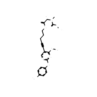 CCCNc1nc(Nc2ccc(C#N)cc2)ncc1C#CCCCNC(=O)[C@H](CC)N(C)C(=O)OC(C)(C)C